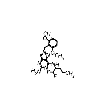 CCCC(Nc1nc(N)nc2cn(Cc3c(OC)cccc3OC)nc12)C(F)F